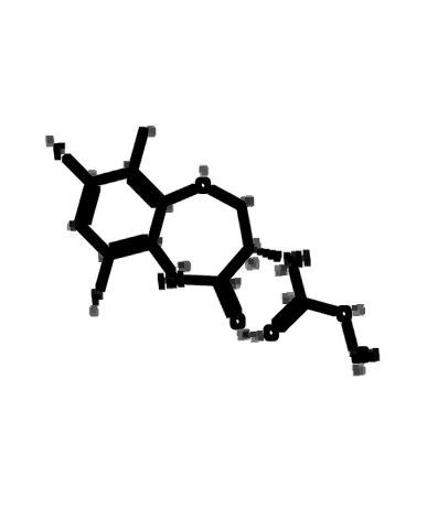 Cc1c(F)cc(F)c2c1OC[C@H](NC(=O)OC(C)(C)C)C(=O)N2